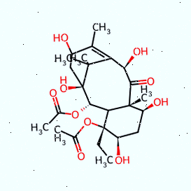 CC[C@@]1(OC(C)=O)C2[C@H](OC(C)=O)[C@]3(O)CC(O)C(C)=C([C@@H](O)C(=O)[C@]2(C)[C@@H](O)C[C@H]1O)C3(C)C